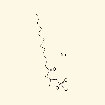 CCCCCCCCCCCC(=O)OC(C)CS(=O)(=O)[O-].[Na+]